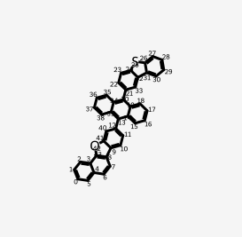 c1ccc2c(c1)ccc1c3ccc(-c4c5ccccc5c(-c5ccc6sc7ccccc7c6c5)c5ccccc45)cc3oc21